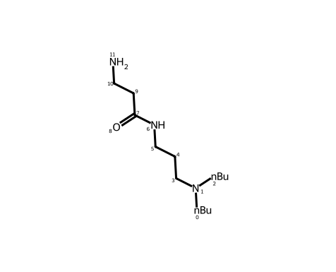 CCCCN(CCCC)CCCNC(=O)CCN